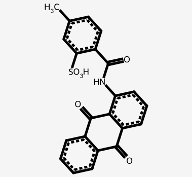 Cc1ccc(C(=O)Nc2cccc3c2C(=O)c2ccccc2C3=O)c(S(=O)(=O)O)c1